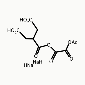 CC(=O)OC(=O)C(=O)OC(=O)C(CC(=O)O)CC(=O)O.[NaH].[NaH]